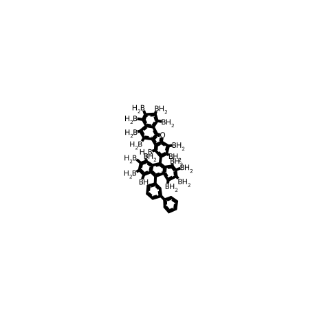 Bc1c(-c2c3c(B)c(B)c(B)c(B)c3c(-c3cccc(-c4ccccc4)c3)c3c(B)c(B)c(B)c(B)c23)c(B)c2c(oc3c4c(B)c(B)c(B)c(B)c4c(B)c(B)c32)c1B